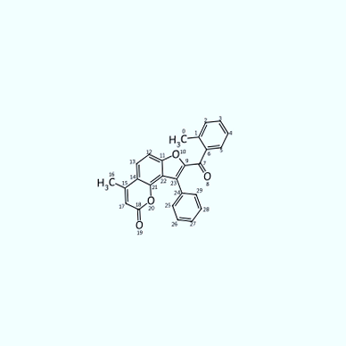 Cc1ccccc1C(=O)c1oc2ccc3c(C)cc(=O)oc3c2c1-c1ccccc1